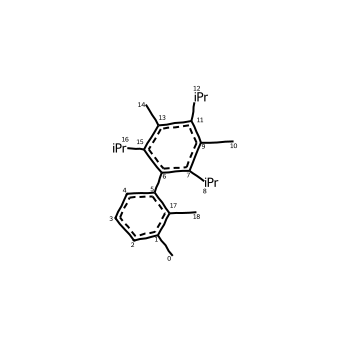 Cc1cccc(-c2c(C(C)C)c(C)c(C(C)C)c(C)c2C(C)C)c1C